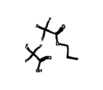 CCCOC(=O)C(F)(F)F.O=C(O)C(F)(F)F